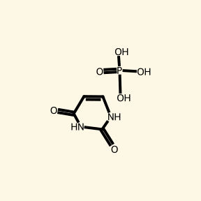 O=P(O)(O)O.O=c1cc[nH]c(=O)[nH]1